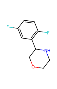 Fc1ccc(F)c(C2COCCN2)c1